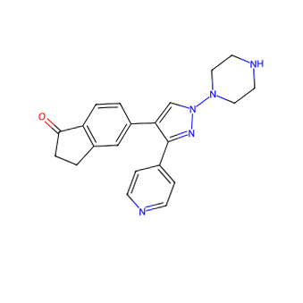 O=C1CCc2cc(-c3cn(N4CCNCC4)nc3-c3ccncc3)ccc21